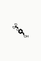 COC(COc1ccc(CCO)cc1)OC